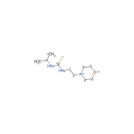 CC(C)NC(=S)NCCN1CCOCC1